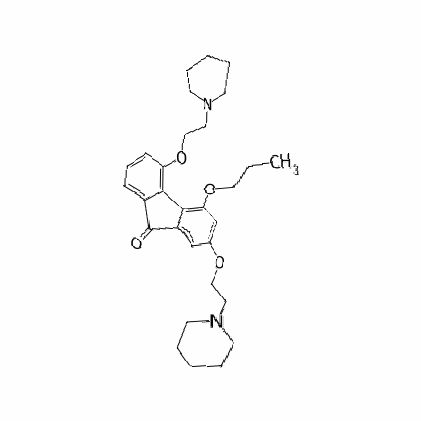 CCCOc1cc(OCCN2CCCCC2)cc2c1-c1c(OCCN3CCCCC3)cccc1C2=O